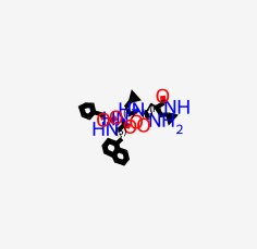 NC(=O)[C@H](C[C@@H]1CC2(CC2)NC1=O)NC(=O)[C@H](CC1CC1)NC(=O)[C@H](Cc1cccc2ccccc12)NC(=O)OCc1ccccc1